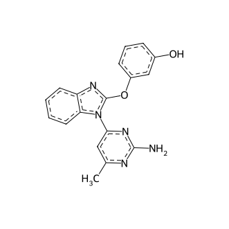 Cc1cc(-n2c(Oc3cccc(O)c3)nc3ccccc32)nc(N)n1